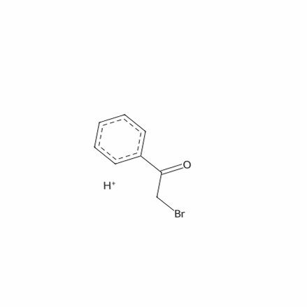 O=C(CBr)c1ccccc1.[H+]